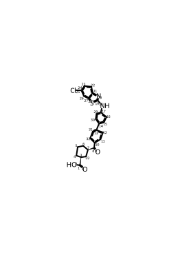 O=C(O)[C@H]1CCC[C@@H](C(=O)c2ccc(-c3ccc(Nc4nc5ccc(Cl)cc5s4)cc3)cc2)C1